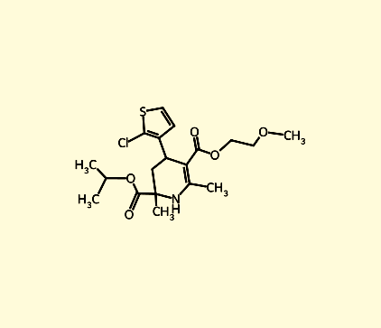 COCCOC(=O)C1=C(C)NC(C)(C(=O)OC(C)C)CC1c1ccsc1Cl